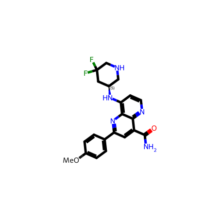 COc1ccc(-c2cc(C(N)=O)c3nccc(N[C@@H]4CNCC(F)(F)C4)c3n2)cc1